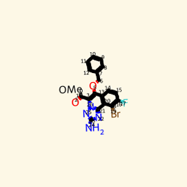 COC(=O)c1c(OCc2ccccc2)c2ccc(F)c(Br)c2c2nc(N)nn12